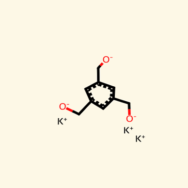 [K+].[K+].[K+].[O-]Cc1cc(C[O-])cc(C[O-])c1